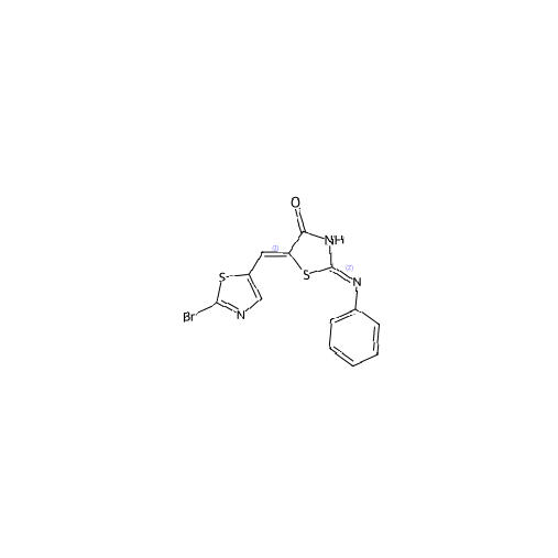 O=C1N/C(=N/c2ccccc2)S/C1=C\c1cnc(Br)s1